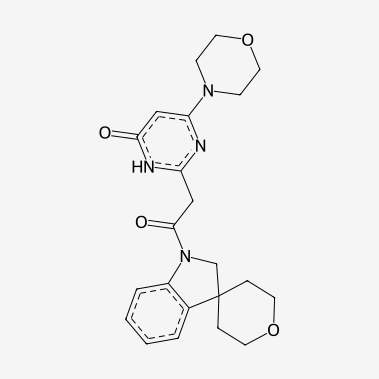 O=C(Cc1nc(N2CCOCC2)cc(=O)[nH]1)N1CC2(CCOCC2)c2ccccc21